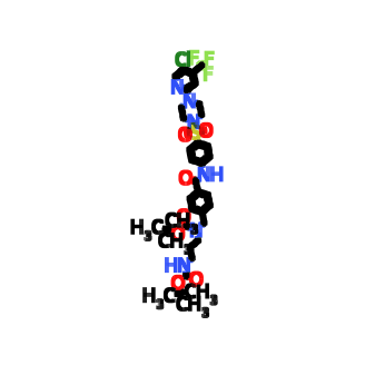 CC(C)(C)OC(=O)NCCCN(Cc1ccc(C(=O)Nc2ccc(S(=O)(=O)N3CCN(c4cc(C(F)(F)F)c(Cl)cn4)CC3)cc2)cc1)C(=O)OC(C)(C)C